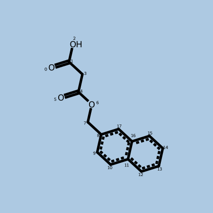 O=C(O)CC(=O)OCc1ccc2ccccc2c1